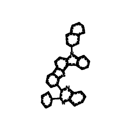 c1ccc(-c2nc3ccccc3nc2-c2cccc3c2sc2c3ccc3c2c2ccccc2n3-c2ccc3ccccc3c2)cc1